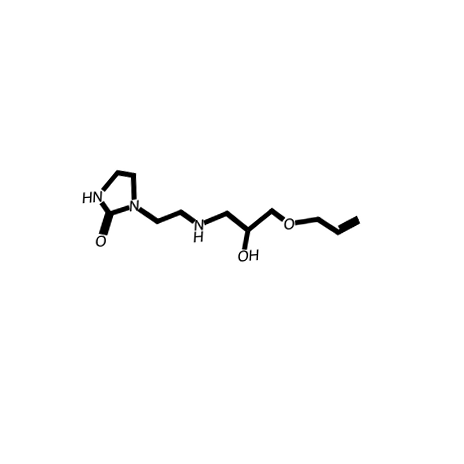 C=CCOCC(O)CNCCN1CCNC1=O